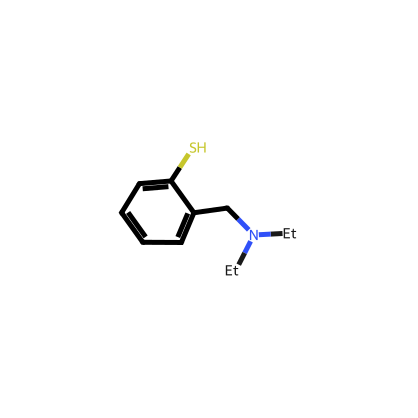 CCN(CC)Cc1ccccc1S